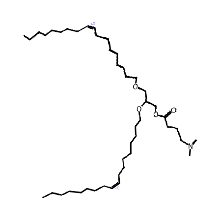 CCCCCCCC/C=C\CCCCCCCCOCC(COC(=O)CCCN(C)C)OCCCCCCCC/C=C\CCCCCCCC